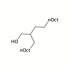 CCCCCCCCCCC(CO)CCCCCCCCC